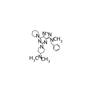 CN(Cc1ccccc1)c1ncnc2c(N3CCCCC3)nc(N3CCC(N(C)C)CC3)nc12